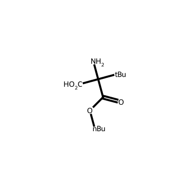 CCCCOC(=O)C(N)(C(=O)O)C(C)(C)C